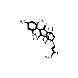 COC(=O)C=C[C@@H]1C[C@@H]2O[C@H]1[C@H]1C(O)=C(c3c(C)cc(C)cc3C)C(=O)[C@H]12